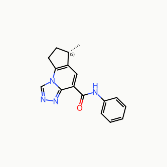 C[C@H]1CCc2c1cc(C(=O)Nc1ccccc1)c1nncn21